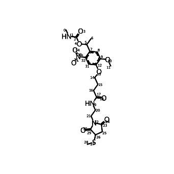 CNC(=O)OC(C)c1cc(OC)c(OCCCC(=O)NCCN2C(=O)CC(SC)C2=O)cc1[N+](=O)[O-]